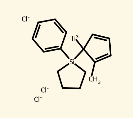 CC1=CC=C[C]1([Ti+3])[Si]1(c2ccccc2)CCCC1.[Cl-].[Cl-].[Cl-]